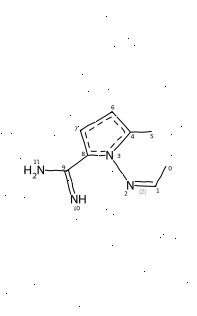 C/C=N\n1c(C)ccc1C(=N)N